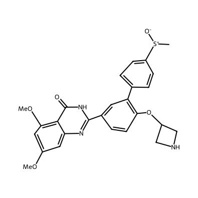 COc1cc(OC)c2c(=O)[nH]c(-c3ccc(OC4CNC4)c(-c4ccc([S+](C)[O-])cc4)c3)nc2c1